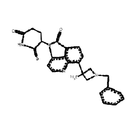 CC1(c2ccc3c4c(ccnc24)N(C2CCC(=O)NC2=O)C3=O)CN(Cc2ccccc2)C1